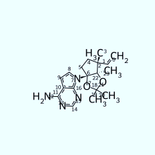 C=C[C@@]1(C)CC[C@@]2(n3ccc4c(N)ncnc43)OC(C)(C)O[C@]12C